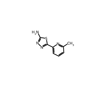 Cc1cccc(-c2nnc(N)s2)n1